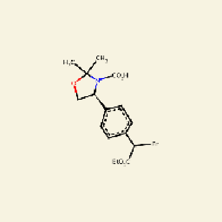 CCOC(=O)C(c1ccc([C@H]2COC(C)(C)N2C(=O)O)cc1)C(C)C